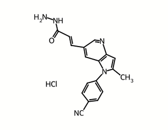 Cc1cc2ncc(C=CC(=O)NN)cc2n1-c1ccc(C#N)cc1.Cl